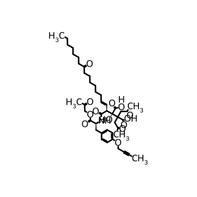 CC#CCOc1ccc(C[C@H](NC(=O)[C@@H](C=CCCCCCCC(=O)CCCCCCC)[C@@](O)(C(=O)O)C(CC(C)=O)(CC(C)=O)C(=O)O)C(=O)OCC(C)=O)cc1